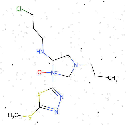 CCCN1CC(NCCCCl)[N+]([O-])(c2nnc(SC)s2)C1